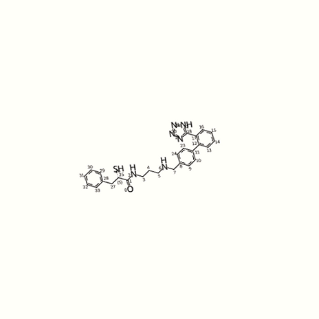 O=C(NCCCNCc1ccc(-c2ccccc2-c2nnn[nH]2)cc1)[C@@H](S)Cc1ccccc1